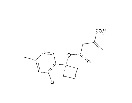 C=C(CC(=O)OC1(c2ccc(C)cc2Cl)CCC1)C(=O)O